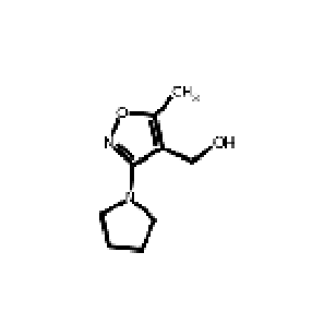 Cc1onc(N2CCCC2)c1CO